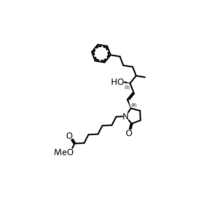 COC(=O)CCCCCCN1C(=O)CC[C@@H]1C=C[C@@H](O)C(C)CCCc1ccccc1